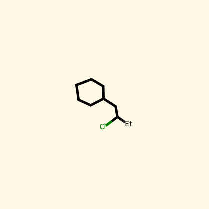 CCC(Cl)CC1CCCCC1